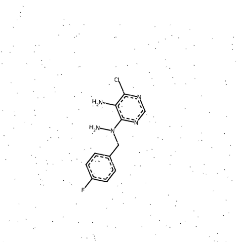 Nc1c(Cl)ncnc1N(N)Cc1ccc(F)cc1